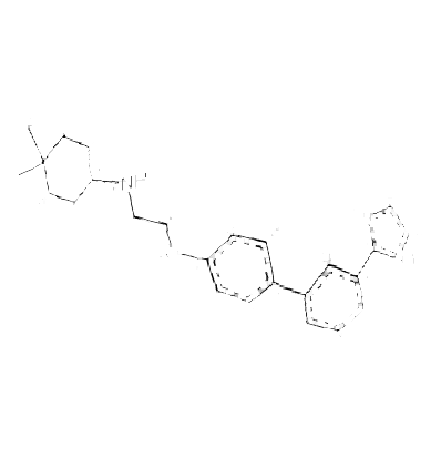 CC1(C)CCC(NCCOc2ccc(-c3cccc(-c4ncc[nH]4)c3)cc2)CC1